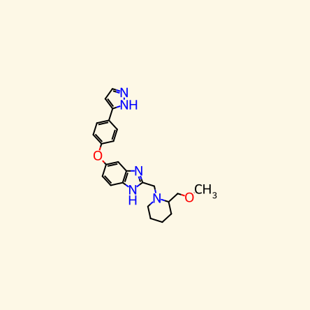 COCC1CCCCN1Cc1nc2cc(Oc3ccc(-c4ccn[nH]4)cc3)ccc2[nH]1